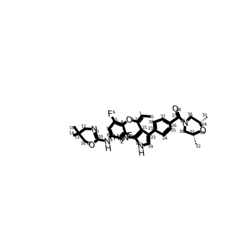 C/C=C(/Oc1c(F)cc(NC2=NCC(C)(C)CO2)cc1F)c1c(-c2ccc(C(=O)N3C[C@@H](C)O[C@@H](C)C3)cc2)c[nH]c1N